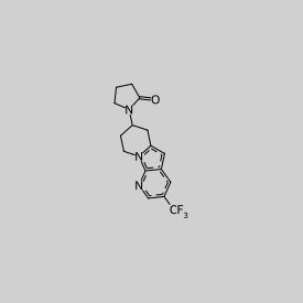 O=C1CCCN1C1CCn2c(cc3cc(C(F)(F)F)cnc32)C1